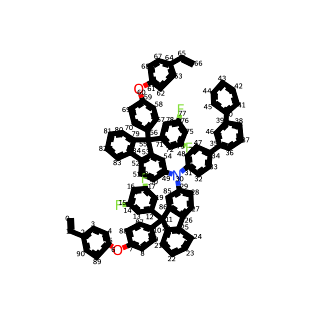 C=Cc1ccc(Oc2ccc(C3(c4cc(F)cc(F)c4)c4ccccc4-c4ccc(N(c5ccc(-c6cccc(-c7ccccc7)c6)cc5)c5ccc6c(c5)C(c5ccc(Oc7ccc(C=C)cc7)cc5)(c5cc(F)cc(F)c5)c5ccccc5-6)cc43)cc2)cc1